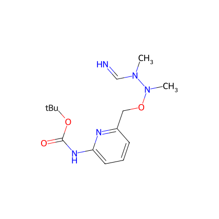 CN(C=N)N(C)OCc1cccc(NC(=O)OC(C)(C)C)n1